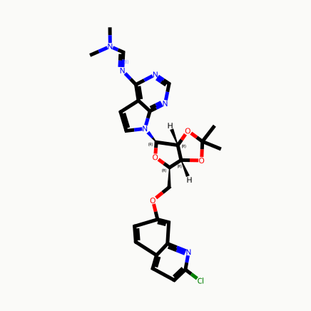 CN(C)/C=N/c1ncnc2c1ccn2[C@@H]1O[C@H](COc2ccc3ccc(Cl)nc3c2)[C@H]2OC(C)(C)O[C@H]21